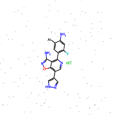 CC(=O)c1cc(-c2ncc(-c3cn[nH]c3)c3onc(N)c23)c(F)cc1N.Cl